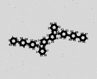 c1ccc(-c2ccc(-c3ccc(-n4c5ccccc5c5cc(-c6ccc7c(c6)c6ccccc6n7-c6ccc(-c7ccc(-c8ccccc8)cc7)cc6)ccc54)cc3)cc2)cc1